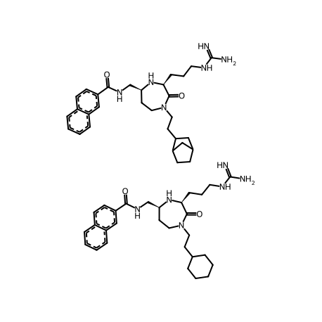 N=C(N)NCCC[C@@H]1N[C@H](CNC(=O)c2ccc3ccccc3c2)CCN(CCC2CC3CCC2C3)C1=O.N=C(N)NCCC[C@@H]1N[C@H](CNC(=O)c2ccc3ccccc3c2)CCN(CCC2CCCCC2)C1=O